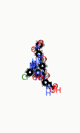 O=C(O)c1cc2cc(NC(=O)[C@H](Cc3ccc(NC(=O)N4CCC(C(=O)N5CCOCC5)CC4)cc3)N3CCN(c4cc(Cl)ccc4-n4cnnn4)C(=O)C3=O)ccc2[nH]1